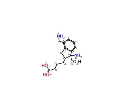 NCc1cccc2c1C[C@H](CCCB(O)O)[C@]2(N)C(=O)O